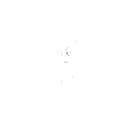 C=CCOC(=O)C1=CC[C@H]2CC1C2(C)C